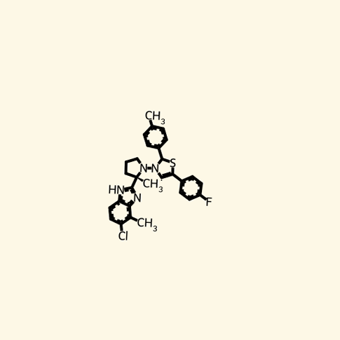 Cc1ccc(C2SC(c3ccc(F)cc3)=[C]N2N2CCC[C@@]2(C)c2nc3c(C)c(Cl)ccc3[nH]2)cc1